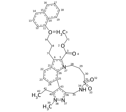 CCOC(=O)c1c(CCCOc2cccc3ccccc23)c2cccc3c2n1CCCS(=O)(=O)NCc1nn(C)c(CC)c1-3